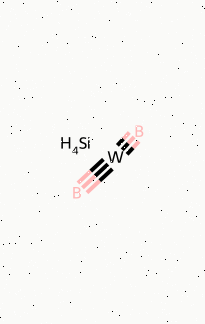 [B]#[W]#[B].[SiH4]